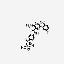 N#Cc1ccc(F)cc1-c1cnc(N)c(C(=O)Nc2ccc(S(=O)(=O)CP(=O)(O)O)cc2)n1